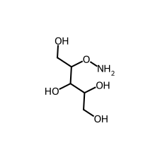 NOC(CO)C(O)C(O)CO